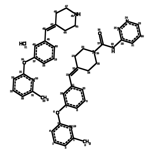 Cc1cccc(Oc2cccc(C=C3CCN(C(=O)Nc4cccnn4)CC3)c2)n1.Cc1cccc(Oc2cccc(C=C3CCNCC3)c2)n1.Cl